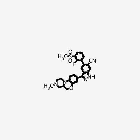 CN1CCN2c3ccc(-c4n[nH]c5cc(C#N)c(-c6cccc(S(C)(=O)=O)c6F)cc45)cc3OCC2C1